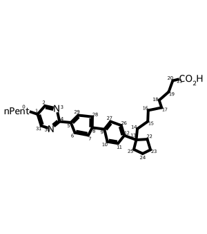 CCCCCc1cnc(-c2ccc(-c3ccc(C4(CCCCCCCC(=O)O)CCCC4)cc3)cc2)nc1